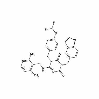 Cc1ccnc(N)c1CNc1nc(=O)n(Cc2ccc3c(c2)CCO3)c(=O)n1Cc1ccc(OC(F)F)cc1